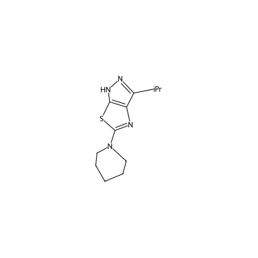 CC(C)c1n[nH]c2sc(N3CCCCC3)nc12